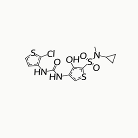 CN(C1CC1)S(=O)(=O)c1scc(NC(=O)Nc2ccsc2Cl)c1O